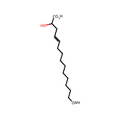 COCCCCCCCCCC=CCC(O)C(=O)O